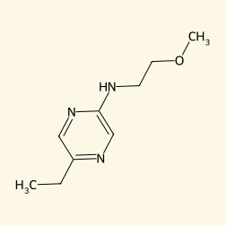 CCc1cnc(NCCOC)cn1